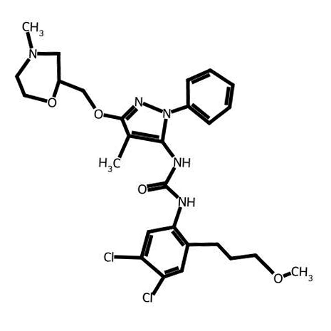 COCCCc1cc(Cl)c(Cl)cc1NC(=O)Nc1c(C)c(OCC2CN(C)CCO2)nn1-c1ccccc1